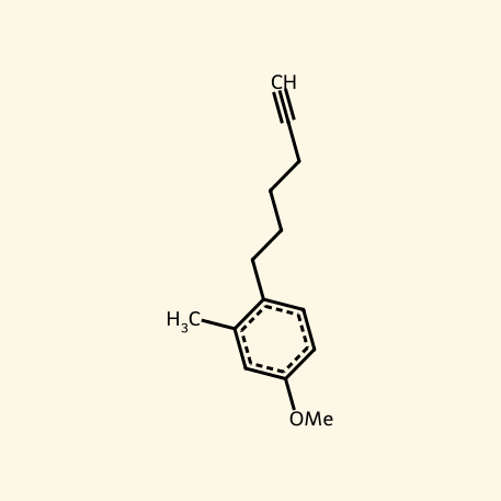 C#CCCCCc1ccc(OC)cc1C